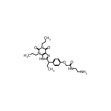 CCCn1c(=O)c2nc(C(CC)c3ccc(OCC(=O)NCCN)cc3)[nH]c2n(CCC)c1=O